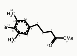 COC(=O)CCCc1cc(C)c(Br)c(C)c1